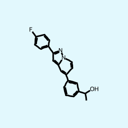 CC(O)c1cccc(-c2ccn3nc(-c4ccc(F)cc4)cc3c2)c1